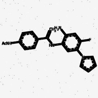 C=C(Nc1cc(-n2cccc2)c(F)cc1N)c1ccc(NC(C)=O)cc1